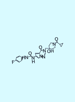 O=C(NCc1ccc(F)cc1)Nc1cc2c(=O)n(CC3(O)CCN(C(=O)C4CC4)CC3)cnn2c1